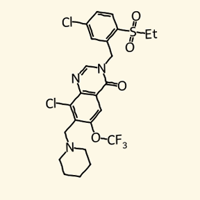 CCS(=O)(=O)c1ccc(Cl)cc1Cn1cnc2c(Cl)c(CN3CCCCC3)c(OC(F)(F)F)cc2c1=O